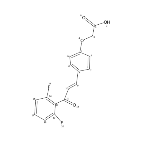 O=C(O)COc1ccc(/C=C/C(=O)c2c(F)cccc2F)cc1